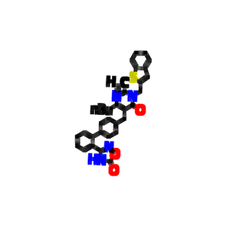 CCCCc1nc(C)n(Cc2cc3ccccc3s2)c(=O)c1Cc1ccc(-c2ccccc2-c2noc(=O)[nH]2)cc1